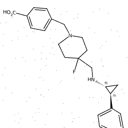 O=C(O)c1ccc(CN2CCC(F)(CN[C@@H]3C[C@H]3c3ccccc3)CC2)cc1